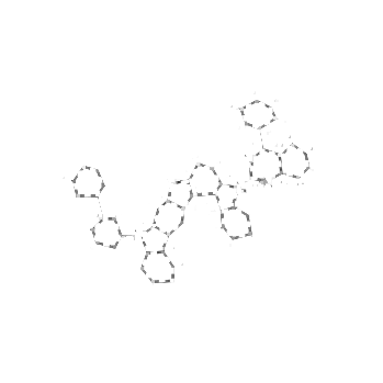 c1ccc(-c2cccc(-n3c4ccccc4c4cc5c(cc43)sc3ccc4c(c6ccccc6n4-c4nc(-c6ccccc6)c6ccccc6n4)c35)c2)cc1